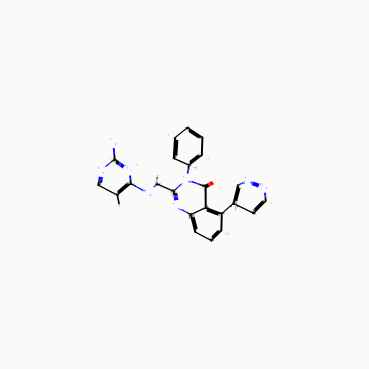 Cc1cnc(N)nc1N[C@@H](C)c1nc2cccc(-c3ccnnc3)c2c(=O)n1-c1ccccc1